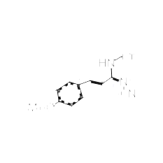 COc1ccc(/C=C/C(=N\C#N)NC(C)C)cc1